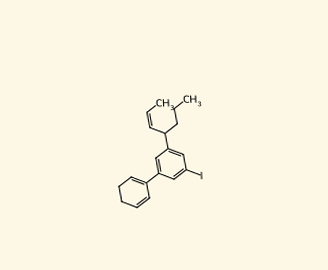 C/C=C\C(CCC)c1cc(I)cc(C2=CCCC=C2)c1